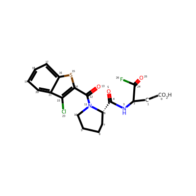 O=C(O)CC(NC(=O)[C@@H]1CCCCN1C(=O)c1sc2ccccc2c1Cl)C(=O)F